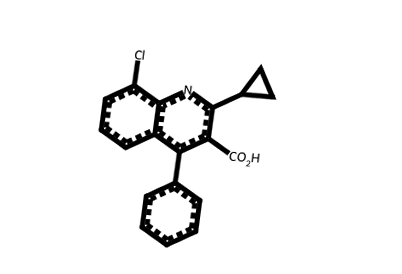 O=C(O)c1c(C2CC2)nc2c(Cl)cccc2c1-c1ccccc1